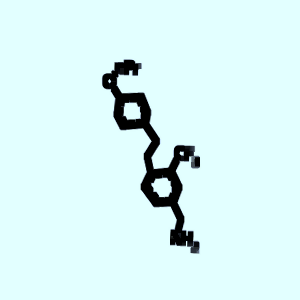 CCCOc1ccc(CCc2ccc(CN)cc2C(F)(F)F)cc1